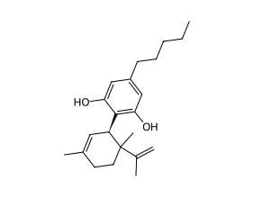 C=C(C)C1(C)CCC(C)=C[C@H]1c1c(O)cc(CCCCC)cc1O